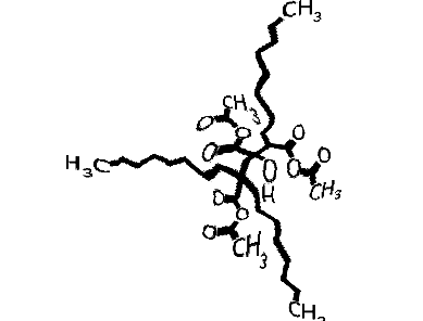 CCCCCCCCC(C(=O)OC(C)=O)C(O)(C(=O)OC(C)=O)C(CCCCCCCC)(CCCCCCCC)C(=O)OC(C)=O